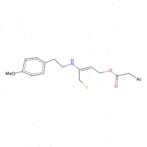 COc1ccc(CCNC(=CCOC(=O)CC(C)=O)CF)cc1